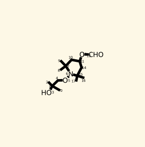 CC(C)(O)CON1C(C)(C)CC(OC=O)CC1(C)C